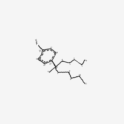 CCCCCC(C)(CCCCC)c1ccc(F)cc1